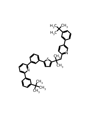 CC(C)(C)c1cccc(-c2ccc(CC(C)(C)c3ccc(-c4cccc(-c5cccc(-c6cccc(C(C)(C)C)c6)n5)c4)s3)nc2)c1